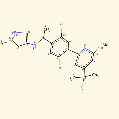 CC[C@H]1CC(NC(C)c2cc(F)c(-c3cc(C(C)(C)F)cc(OC)n3)cc2F)=CN1